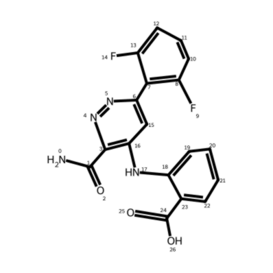 NC(=O)c1nnc(-c2c(F)cccc2F)cc1Nc1ccccc1C(=O)O